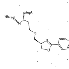 CCCCCCC[C@@H](CCOC[C@@H]1COC(c2ccccc2)=N1)N=[N+]=[N-]